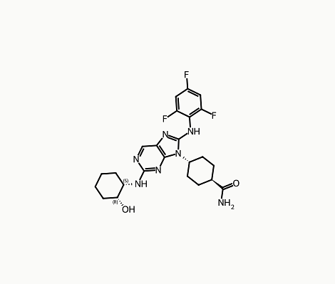 NC(=O)[C@H]1CC[C@H](n2c(Nc3c(F)cc(F)cc3F)nc3cnc(N[C@H]4CCCC[C@H]4O)nc32)CC1